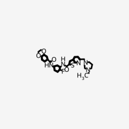 CCN1CCCN(Cc2ccc3cc(C(=O)Nc4cc(NC(=O)c5ccc6c(c5)OCCO6)ccc4F)sc3n2)CC1